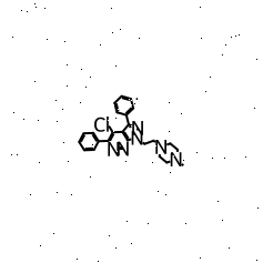 CN1CCN(CCn2nc(-c3c[c]ccc3)c3c(Cl)c(-c4ccccc4)nnc32)CC1